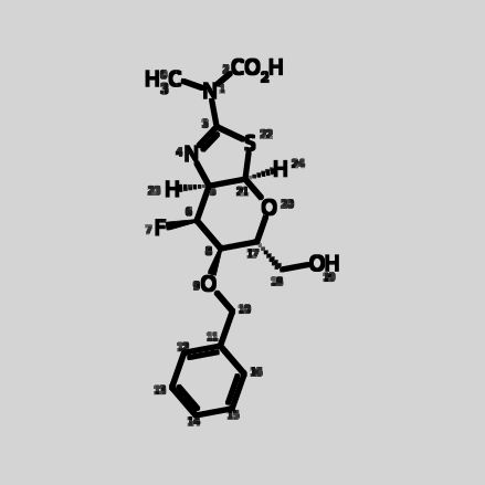 CN(C(=O)O)C1=N[C@@H]2[C@H](F)[C@H](OCc3ccccc3)[C@@H](CO)O[C@@H]2S1